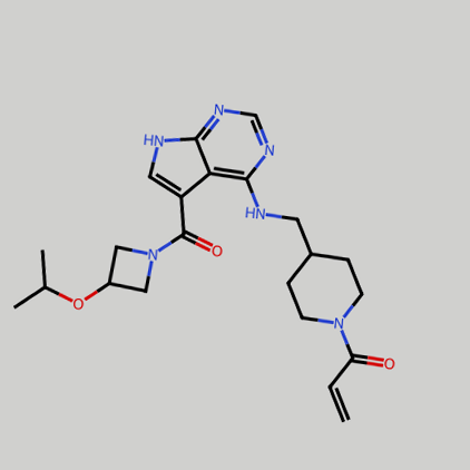 C=CC(=O)N1CCC(CNc2ncnc3[nH]cc(C(=O)N4CC(OC(C)C)C4)c23)CC1